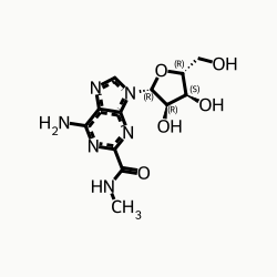 CNC(=O)c1nc(N)c2ncn([C@@H]3O[C@H](CO)[C@@H](O)[C@H]3O)c2n1